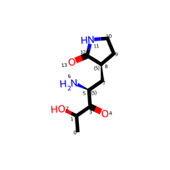 CC(O)C(=O)[C@@H](N)C[C@@H]1CCNC1=O